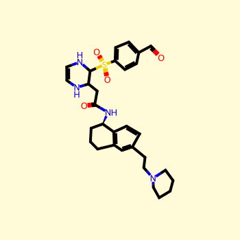 O=Cc1ccc(S(=O)(=O)C2NC=CNC2CC(=O)N[C@@H]2CCCc3cc(CCN4CCCCC4)ccc32)cc1